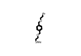 CSCCOCc1ccc(COCCC(C)C)cc1